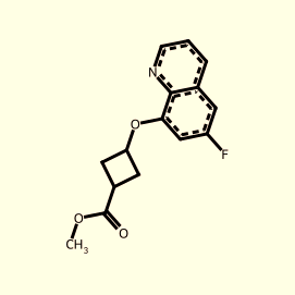 COC(=O)C1CC(Oc2cc(F)cc3cccnc23)C1